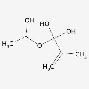 C=C(C)C(O)(O)OC(C)O